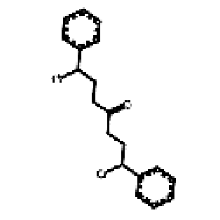 O=C(CCC(Cl)c1ccccc1)CCC(Cl)c1ccccc1